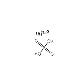 O=S(=O)(O)O.[LiH].[NaH].[V]